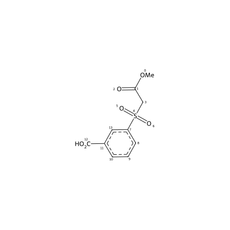 COC(=O)CS(=O)(=O)c1cccc(C(=O)O)c1